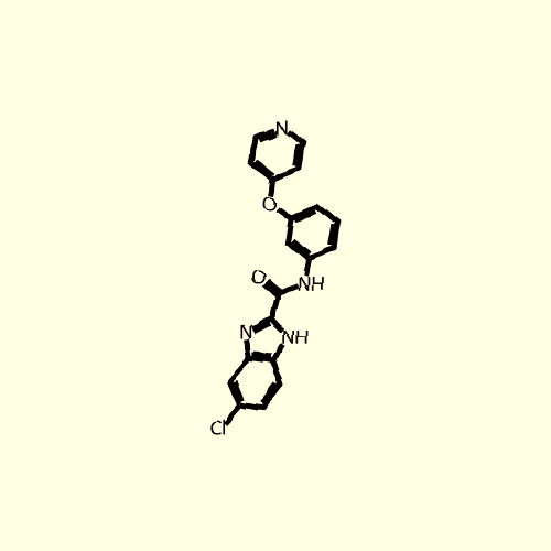 O=C(Nc1cccc(Oc2ccncc2)c1)c1nc2cc(Cl)ccc2[nH]1